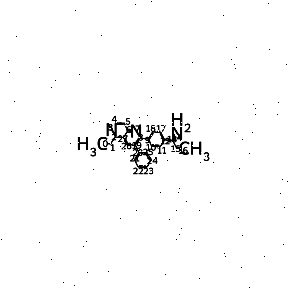 CCc1nccc2nc(-c3ccc(C(N)CC)cc3)c(-c3ccccc3)cc12